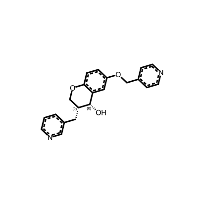 O[C@H]1c2cc(OCc3ccncc3)ccc2OC[C@H]1Cc1cccnc1